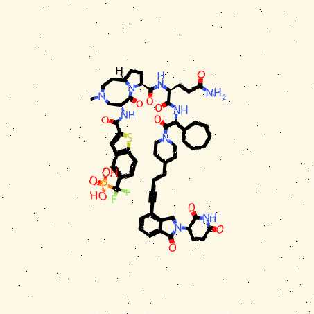 CN1CC[C@H]2CC[C@@H](C(=O)N[C@@H](CCC(N)=O)C(=O)N[C@H](C(=O)N3CCC(CCC#Cc4cccc5c4CN(C4CCC(=O)NC4=O)C5=O)CC3)C3CCCCCC3)N2C(=O)[C@@H](NC(=O)c2cc3cc(C(F)(F)P(=O)(O)O)ccc3s2)C1